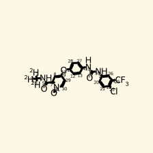 [2H]C([2H])([2H])NC(=O)c1cc(Oc2ccc(NC(=O)Nc3ccc(Cl)c(C(F)(F)F)c3)cc2)cc[n+]1[O-]